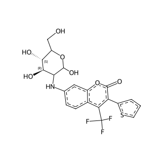 O=c1oc2cc(NC3C(O)OC(CO)[C@@H](O)[C@@H]3O)ccc2c(C(F)(F)F)c1-c1cccs1